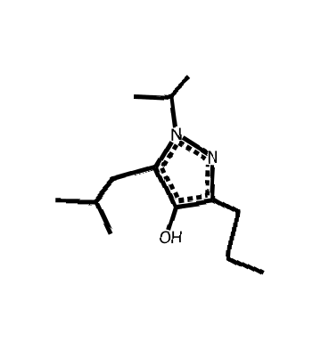 CCCc1nn(C(C)C)c(CC(C)C)c1O